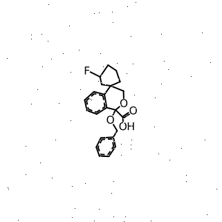 O=C(O)C1(OCc2ccccc2)OCC2(CCCC(F)C2)c2ccccc21